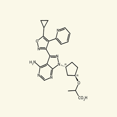 CC(O[C@@H]1CC[C@@H](n2nc(-c3noc(C4CC4)c3-c3ccccn3)c3c(N)ncnc32)C1)C(=O)O